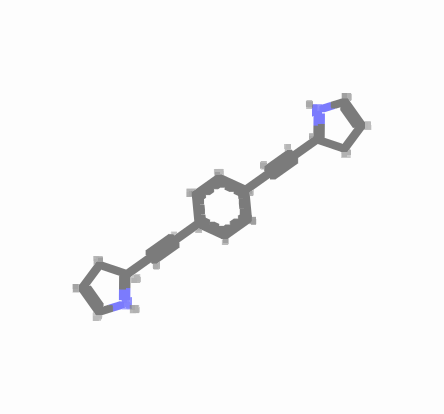 C(#Cc1ccc(C#CC2=NC=CC2)cc1)C1=NC=CC1